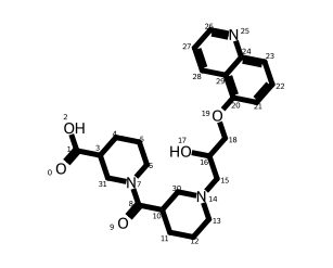 O=C(O)C1CCCN(C(=O)C2CCCN(CC(O)COc3cccc4ncccc34)C2)C1